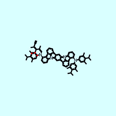 C#C/C(C)=C(\C(C)=C/N(c1cc(C)c(C(C)C)c(C)c1)c1cccc2c1c1cccc3c4cc5c(cc4n2c31)c1cccc2c3c(N(c4cc(C)c(C(C)C)c(C)c4)c4cc(C)c(C(C)C)c(C)c4)cccc3n5c12)C(C)C